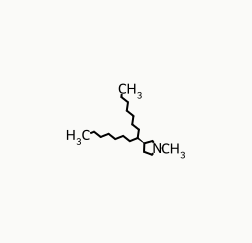 CCCCCCCC(CCCCCCC)[C@@H]1CCN(C)C1